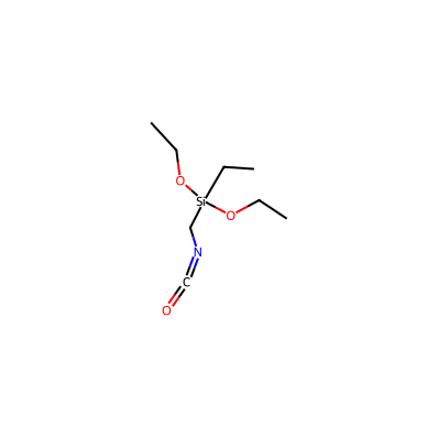 CCO[Si](CC)(CN=C=O)OCC